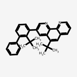 CC(C)(C)c1c(-c2ccccc2)cccc1-c1cnc2c(c1)c(C(C)(C)C)cc1cccnc12